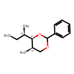 CC(=O)OC[C@@H](OC(C)=O)[C@H]1OC(c2ccccc2)OC[C@H]1OC(C)=O